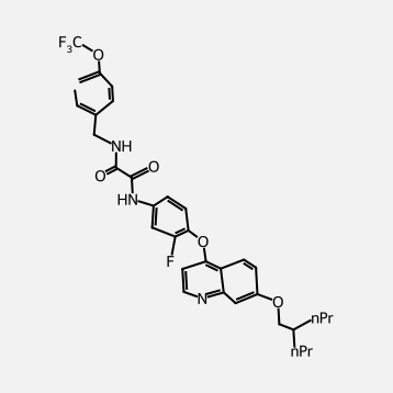 C=C(/C=C\C(=C/C)CNC(=O)C(=O)Nc1ccc(Oc2ccnc3cc(OCC(CCC)CCC)ccc23)c(F)c1)OC(F)(F)F